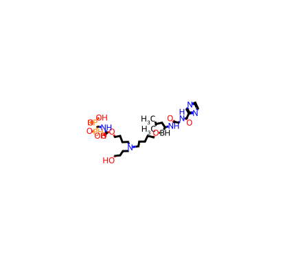 CC(C)CC(BOCCCCCN(CCCCO)CCCCOC(=O)NC([PH](=O)O)[PH](=O)O)NC(=O)CNC(=O)c1cnccn1